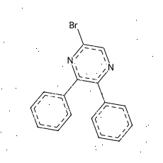 Brc1cnc(-c2ccccc2)c(-c2ccccc2)n1